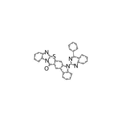 O=c1c2cc3c4ccccc4n(-c4nc(-c5ccccc5)c5ccccc5n4)c3cc2sc2nc3ccccc3n12